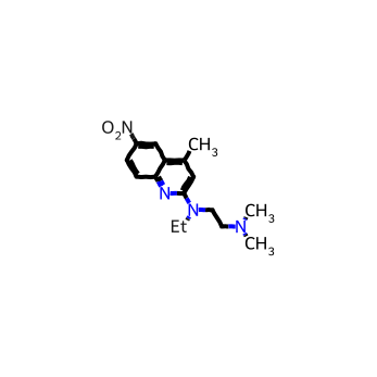 CCN(CCN(C)C)c1cc(C)c2cc([N+](=O)[O-])ccc2n1